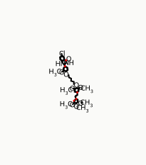 COc1cc(C2NC(=O)c3cc(Cl)ccc3N2)ccc1OCCCCCCOc1c(OC)cc(C=Cc2cc(OC)c(OC)c(OC)c2)cc1OC